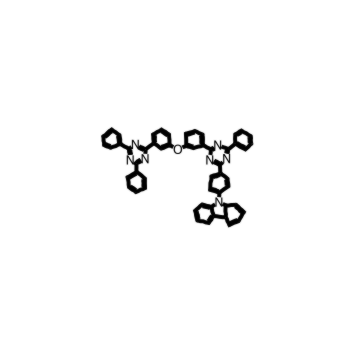 C1=CC2c3ccccc3N(c3ccc(-c4nc(-c5ccccc5)nc(-c5cccc(Oc6cccc(-c7nc(-c8ccccc8)nc(-c8ccccc8)n7)c6)c5)n4)cc3)C2C=C1